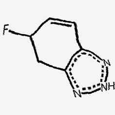 FC1C=Cc2n[nH]nc2C1